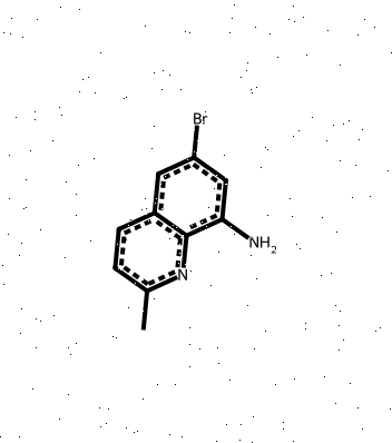 Cc1ccc2cc(Br)cc(N)c2n1